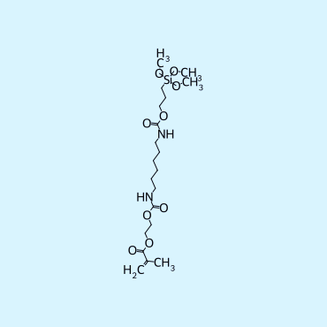 C=C(C)C(=O)OCCOC(=O)NCCCCCCNC(=O)OCCC[Si](OC)(OC)OC